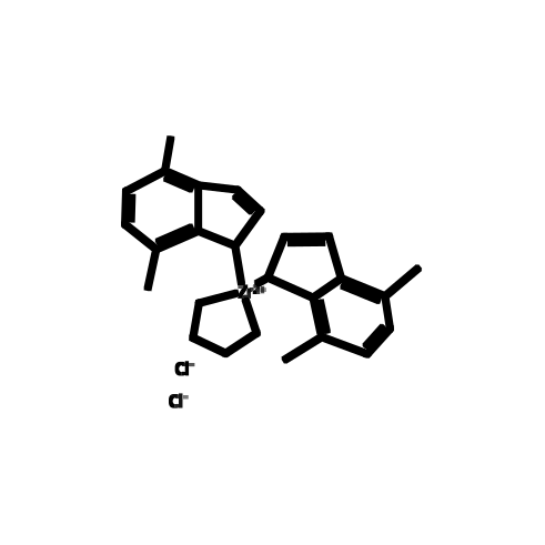 Cc1ccc(C)c2c1C=C[CH]2[Zr+2]1([CH]2C=Cc3c(C)ccc(C)c32)[CH2]CC[CH2]1.[Cl-].[Cl-]